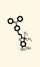 CC1(C)C(/C=C/c2ccc(N(c3ccccc3)c3ccccc3)cc2)=Nc2cc(O)c(O)cc21